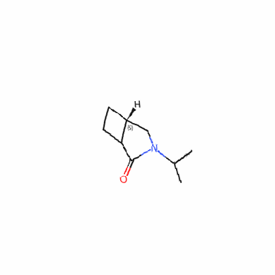 CC(C)N1C[C@H]2CCC2C1=O